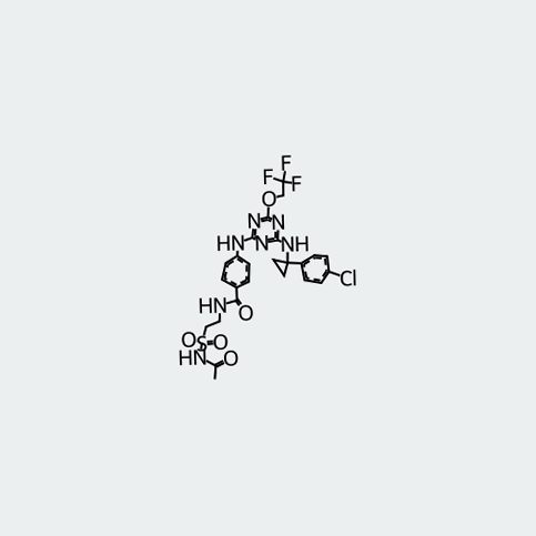 CC(=O)NS(=O)(=O)CCNC(=O)c1ccc(Nc2nc(NC3(c4ccc(Cl)cc4)CC3)nc(OCC(F)(F)F)n2)cc1